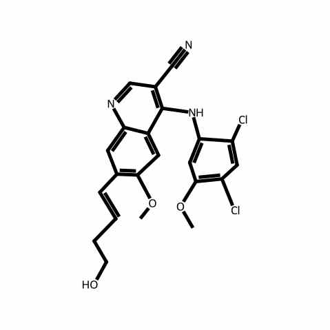 COc1cc(Nc2c(C#N)cnc3cc(/C=C/CCO)c(OC)cc23)c(Cl)cc1Cl